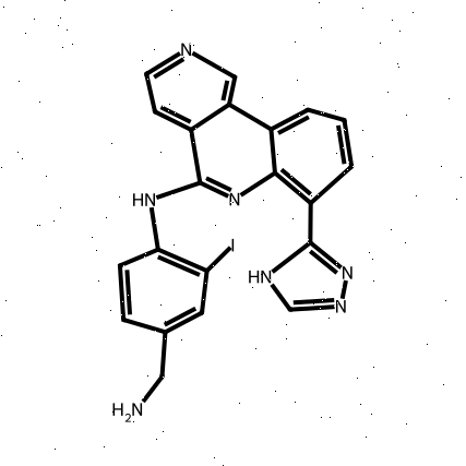 NCc1ccc(Nc2nc3c(-c4nnc[nH]4)cccc3c3cnccc23)c(I)c1